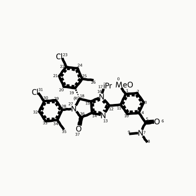 COc1ccc(C(=O)N(C)C)cc1-c1nc2c(n1C(C)C)[C@@H](c1ccc(Cl)cc1C)N(c1cc(Cl)ccc1C)C2=O